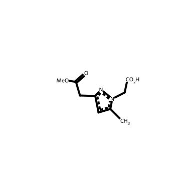 COC(=O)Cc1cc(C)n(CC(=O)O)n1